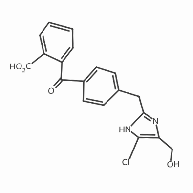 O=C(O)c1ccccc1C(=O)c1ccc(Cc2nc(CO)c(Cl)[nH]2)cc1